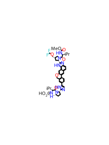 COC(=O)N[C@H](C(=O)N1C[C@@H](COC(F)F)C[C@H]1c1nc2ccc3cc4c(cc3c2[nH]1)OCc1cc(-c2cnc([C@@H]3CC[C@H](C)N3C(=O)[C@@H](NC(=O)O)C(C)C)[nH]2)ccc1-4)C(C)C